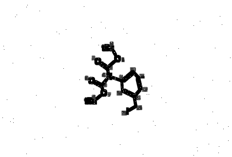 CC(C)(C)OC(=O)N(C(=O)OC(C)(C)C)c1cccc(CI)c1